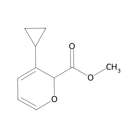 COC(=O)C1OC=CC=C1C1CC1